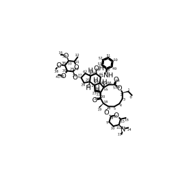 CC[C@H]1CCC[C@H](O[C@H]2CC[C@H](N(C)C)C(C)O2)[C@@H](C)C(=O)C2=C[C@H]3[C@@H]4C[C@H](O[C@@H]5OC(C)[C@H](OC)C(OC)C5OC)C[C@H]4[C@@H](O)[C@H](Nc4ccccc4)[C@H]3[C@@H]2CC(=O)O1